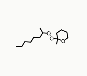 CCCCCCC(C)OOC1(C)CCCCO1